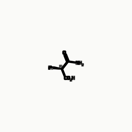 CC(C)[C@@H](C(N)=O)C(=O)O